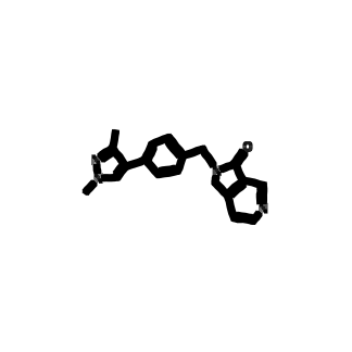 Cc1nn(C)cc1-c1ccc(CN2Cc3ccncc3C2=O)cc1